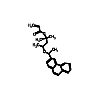 C=CC(=O)OC(C)(C)CC(C)OC(C)c1ccc2ccc3ccccc3c2c1